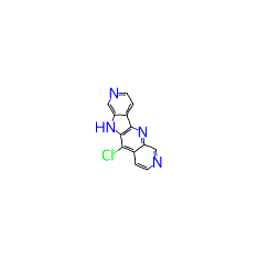 Clc1c2ccncc2nc2c1[nH]c1cnccc12